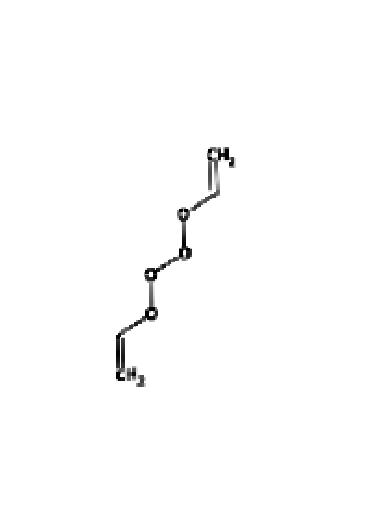 C=COOOOC=C